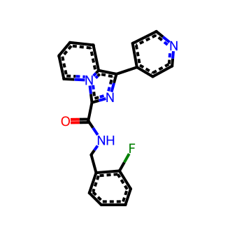 O=C(NCc1ccccc1F)c1nc(-c2ccncc2)c2ccccn12